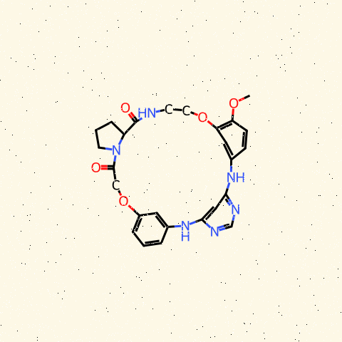 COc1ccc2cc1OCCNC(=O)C1CCCN1C(=O)COc1cccc(c1)Nc1cc(ncn1)N2